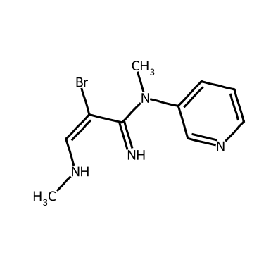 CN/C=C(/Br)C(=N)N(C)c1cccnc1